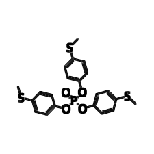 CSc1ccc(OP(=O)(Oc2ccc(SC)cc2)Oc2ccc(SC)cc2)cc1